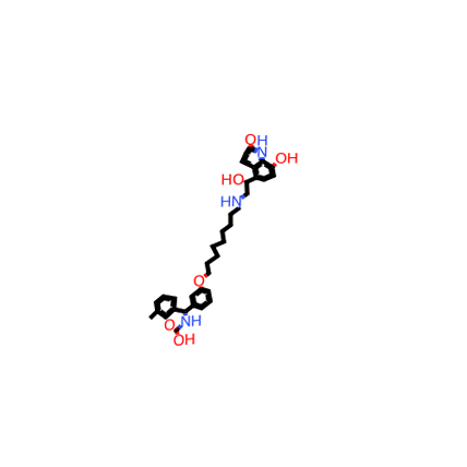 Cc1cccc(C(NC(=O)O)c2cccc(OCCCCCCCCCNC[C@@H](O)c3ccc(O)c4[nH]c(=O)ccc34)c2)c1